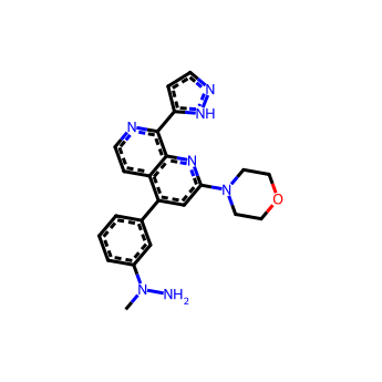 CN(N)c1cccc(-c2cc(N3CCOCC3)nc3c(-c4ccn[nH]4)nccc23)c1